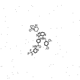 COc1ccc(CNc2nccn3c([C@H]4CC[C@H]5COC(=O)N5C4)nc(-c4ccc(C(=O)Nc5cc(C(F)(F)F)ccn5)cc4)c23)c(OC)c1